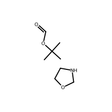 C1COCN1.CC(C)(C)OC=O